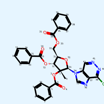 C[C@@]1(OC(=O)c2ccccc2)[C@H](OC(=O)c2ccccc2)[C@@H](COC(=O)c2ccccc2)O[C@H]1n1cnc2c(Cl)nncc21